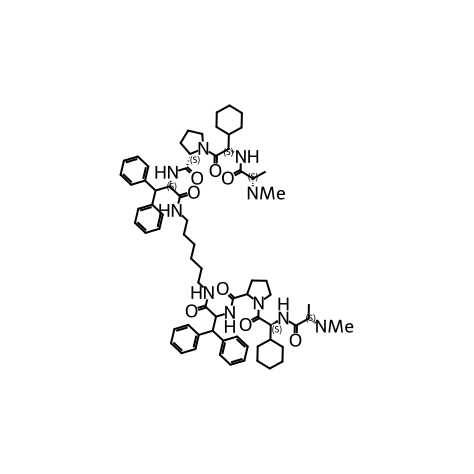 CN[C@@H](C)C(=O)N[C@H](C(=O)N1CCCC1C(=O)NC(C(=O)NCCCCCCNC(=O)[C@@H](NC(=O)[C@@H]1CCCN1C(=O)[C@@H](NC(=O)[C@H](C)NC)C1CCCCC1)C(c1ccccc1)c1ccccc1)C(c1ccccc1)c1ccccc1)C1CCCCC1